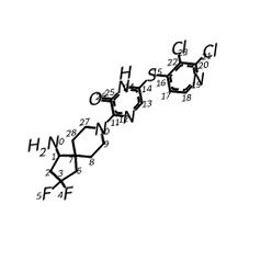 NC1CC(F)(F)CC12CCN(c1ncc(Sc3ccnc(Cl)c3Cl)[nH]c1=O)CC2